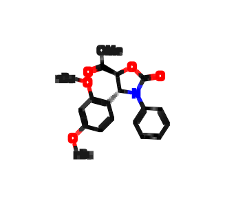 CCCCOc1ccc([C@@H]2[C@@H](C(=O)OC)OC(=O)N2c2ccccc2)c(OCCCC)c1